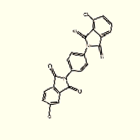 O=C1c2ccc(Cl)cc2C(=O)N1c1ccc(N2C(=O)c3cccc(Cl)c3C2=O)cc1